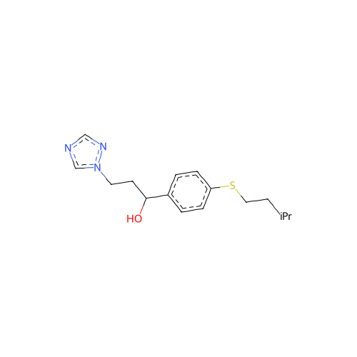 CC(C)CCSc1ccc(C(O)CCn2cncn2)cc1